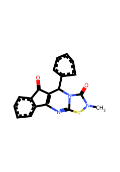 CN1SC2=NC3=C(C(=O)c4ccccc43)C(c3ccccc3)N2C1=O